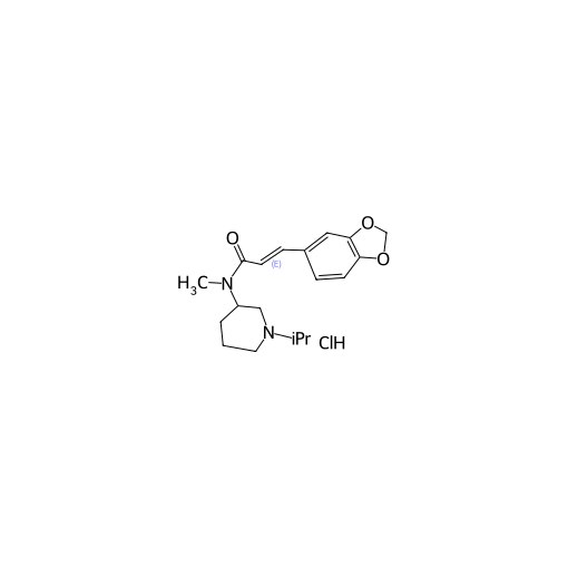 CC(C)N1CCCC(N(C)C(=O)/C=C/c2ccc3c(c2)OCO3)C1.Cl